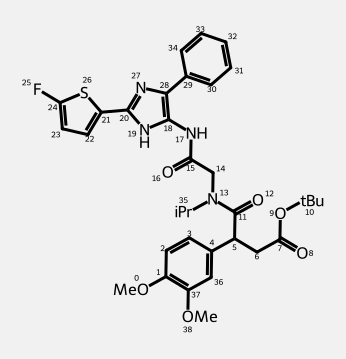 COc1ccc(C(CC(=O)OC(C)(C)C)C(=O)N(CC(=O)Nc2[nH]c(-c3ccc(F)s3)nc2-c2ccccc2)C(C)C)cc1OC